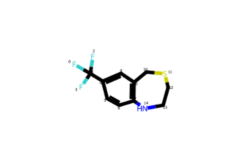 FC(F)(F)c1ccc2c(c1)CSCCN2